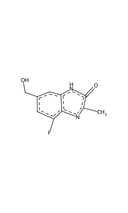 Cc1nc2c(F)cc(CO)cc2[nH]c1=O